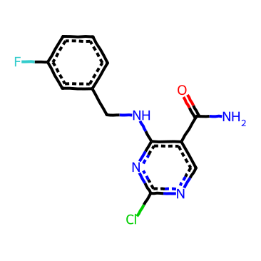 NC(=O)c1cnc(Cl)nc1NCc1cccc(F)c1